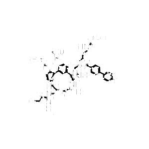 C[C@@H]1NC(=O)[C@@H](N(C)C(=O)[C@H](CCCCNC(=O)OC(C)(C)C)NC(=O)c2ccc(-c3ccc(Cl)cc3)cc2)c2ccc(OC(=O)OC(C)(C)C)c(c2)-c2cc(ccc2OC(=O)OC(C)(C)C)C[C@@H](C(=O)N[C@@H](N)C(=O)CCl)NC1=O